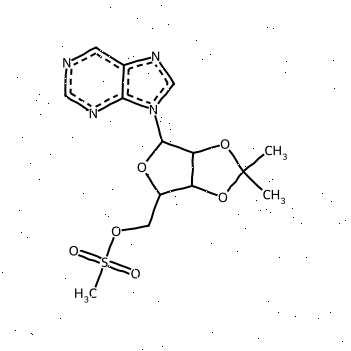 CC1(C)OC2C(COS(C)(=O)=O)OC(n3cnc4cncnc43)C2O1